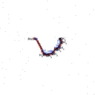 COC(=O)Cc1cn(CCOCCOCCOCCOCCOCCOCCNC(=O)CCNC(=O)c2nc(NC(=O)c3cc(NC(=O)CCNC(=O)c4nc(NC(=O)CCCNC(=O)c5cc(NC(=O)c6nc(NC(=O)CCNC(=O)c7cc(NC(=O)c8nccn8C)cn7C)cn6C)cn5C)cn4C)cn3C)cn2C)nn1